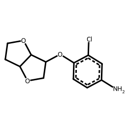 Nc1ccc(OC2COC3CCOC32)c(Cl)c1